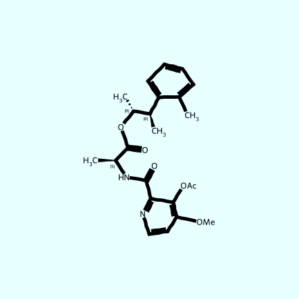 COc1ccnc(C(=O)N[C@@H](C)C(=O)O[C@H](C)[C@H](C)c2ccccc2C)c1OC(C)=O